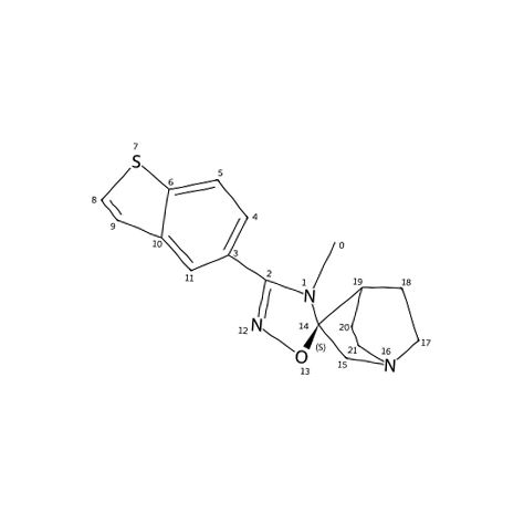 CN1C(c2ccc3sccc3c2)=NO[C@@]12CN1CCC2CC1